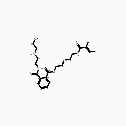 CC=C(C)C(=O)OCCOCCOC(=O)c1ccccc1C(=O)OCCOCCO